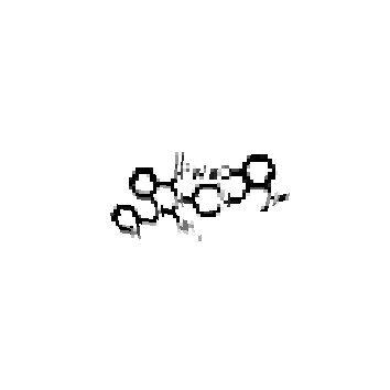 COc1cccc(N(C)C)c1CN1CCC(N2C(N)c3ccccc3N(Cc3ccccn3)C2N)CC1